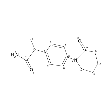 CC(C(N)=O)c1ccc(N2CCCCC2=O)cc1